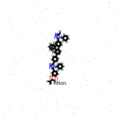 C=C(C)C(=O)C(CCCCCCCCC)Oc1ccc(-c2nnc(-c3ccc(-c4ccc5c(c4)C4(c6cc(-c7nnc(C)n7-c7ccccc7)ccc6-5)C5(CCC)CCC[C@@]4(CCC)CC5)cc3)n2-c2ccccc2)cc1